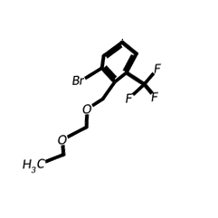 CCOCOCc1c(Br)c[c]cc1C(F)(F)F